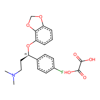 CN(C)CC[C@@H](Oc1cccc2c1OCO2)c1ccc(F)cc1.O=C(O)C(=O)O